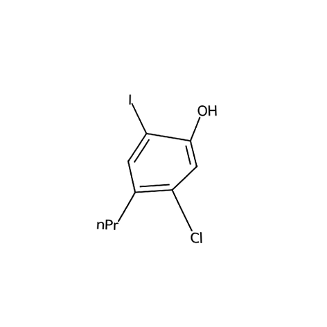 CCCc1cc(I)c(O)cc1Cl